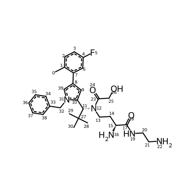 Cc1ccc(F)cc1-c1cc([C@H](N(CC[C@H](N)C(=O)NCCN)C(=O)CO)C(C)(C)C)n(Cc2ccccc2)c1